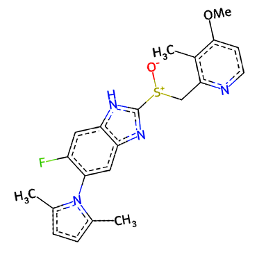 COc1ccnc(C[S+]([O-])c2nc3cc(-n4c(C)ccc4C)c(F)cc3[nH]2)c1C